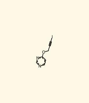 IC#CCOc1ccncn1